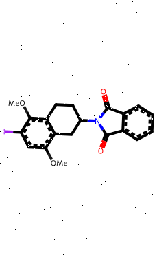 COc1cc(I)c(OC)c2c1CC(N1C(=O)c3ccccc3C1=O)CC2